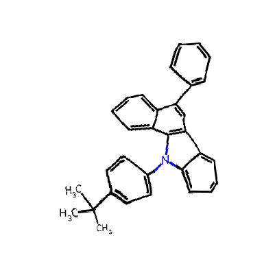 CC(C)(C)c1ccc(-n2c3ccccc3c3cc(-c4ccccc4)c4ccccc4c32)cc1